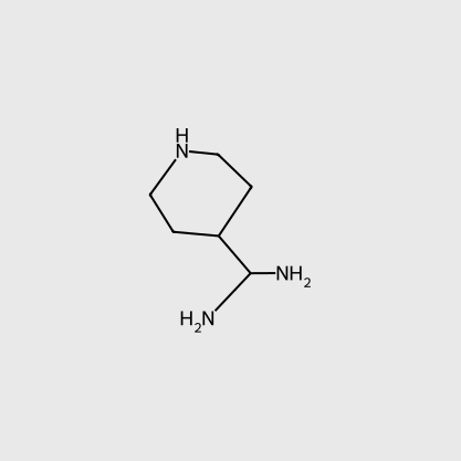 NC(N)C1CCNCC1